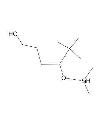 C[SiH](C)OC(CCCO)C(C)(C)C